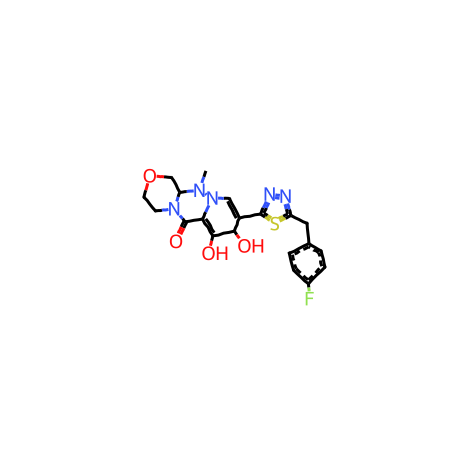 CN1C2COCCN2C(=O)C2=C(O)C(O)C(c3nnc(Cc4ccc(F)cc4)s3)=CN21